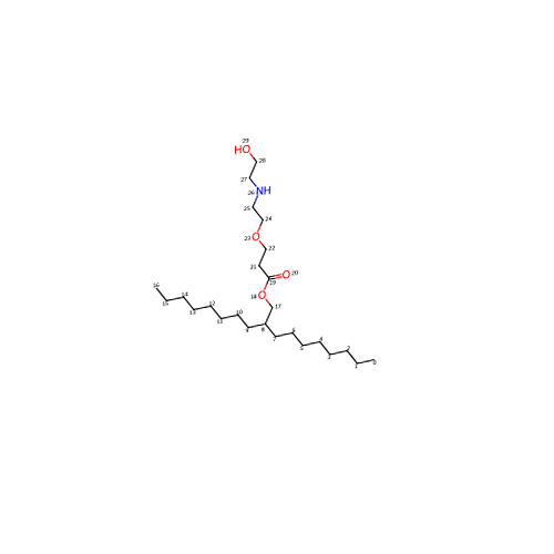 CCCCCCCCC(CCCCCCCC)COC(=O)CCOCCNCCO